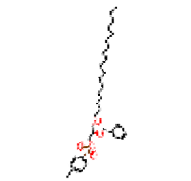 CCCCCCCCCCCCCCCCCCOCC(COS(=O)(=O)c1ccc(C)cc1)OCc1ccccc1